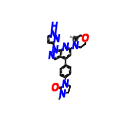 C[C@@H]1COCCN1c1cc(-c2ccc(N3CCN(C)C3=O)cc2)c2cnn(-c3cc[nH]n3)c2n1